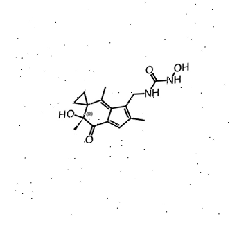 CC1=C(CNC(=O)NO)C2=C(C)C3(CC3)[C@@](C)(O)C(=O)C2=C1